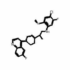 C=Nc1cc(Cl)c(F)cc1NCC(C)C1CCC(c2ccnc3ccc(F)cc23)CC1